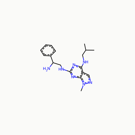 CC(C)CNc1nc(NCC(N)c2ccccc2)nc2c1cnn2C